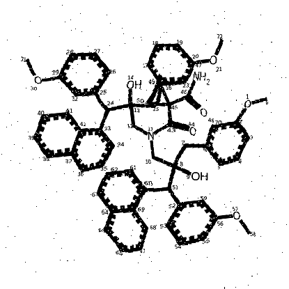 COc1cccc(CC(O)(CN(CC(O)(Cc2cccc(OC)c2)C(c2cccc(OC)c2)c2cccc3ccccc23)C(=O)C2(C(N)=O)CC2)C(c2cccc(OC)c2)c2cccc3ccccc23)c1